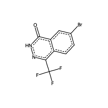 O=c1[nH]nc(C(F)(F)F)c2ccc(Br)cc12